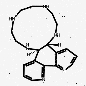 c1cnc2c(c1)[C@H]1NCCNCCNCCN[C@@H]1c1cccnc1-2